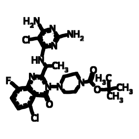 CC(Nc1nc(N)nc(N)c1Cl)c1nc2c(F)ccc(Cl)c2c(=O)n1N1CCN(C(=O)OC(C)(C)C)CC1